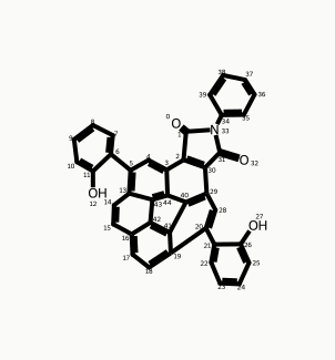 O=c1c2c3cc(-c4ccccc4O)c4ccc5ccc6c(-c7ccccc7O)cc(c2c(=O)n1-c1ccccc1)c1c6c5c4c31